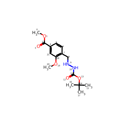 COC(=O)c1ccc(CNNC(=O)OC(C)(C)C)c(OC)c1